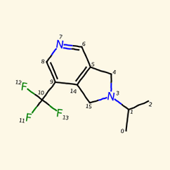 CC(C)N1Cc2cncc(C(F)(F)F)c2C1